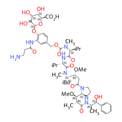 CC[C@H](C)[C@@H]([C@@H](CC(=O)N1CCC[C@H]1[C@H](OC)[C@@H](C)C(=O)N[C@H](C)[C@@H](O)c1ccccc1)OC)N(C)C(=O)[C@@H](NC(=O)[C@H](C(C)C)N(C)C(=O)OCc1ccc(O[C@@H]2O[C@H](C(=O)O)[C@@H](O)[C@H](O)[C@H]2O)c(NC(=O)CCN)c1)C(C)C